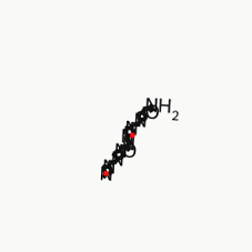 CN1CCN(CCN2CCN(CC(=O)N(C)CN3CCN(CCN4CCC(CC(N)=O)CC4)CC3)CC2)CC1